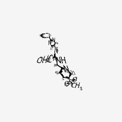 CS(=O)(=O)c1ccc(CN/C(C=O)=N/c2cnc(Cl)nc2)nc1